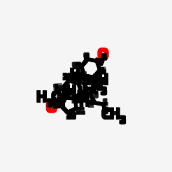 CCC[C@@H]1C[C@H]2CC(=O)CC[C@]2(C)[C@H]2CC[C@]3(C)C(=O)CC[C@H]3[C@H]12